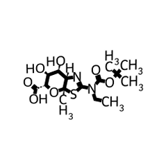 CCN(C(=O)OC(C)(C)C)C1=N[C@@H]2[C@@H](O)[C@H](O)[C@@H](C(=O)O)O[C@]2(C)S1